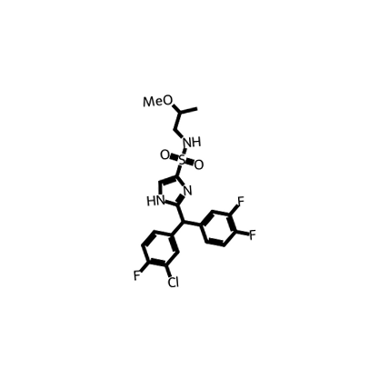 COC(C)CNS(=O)(=O)c1c[nH]c(C(c2ccc(F)c(F)c2)c2ccc(F)c(Cl)c2)n1